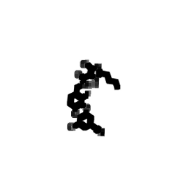 CCCCc1nc(Cl)c(C(=O)NCc2ccc(Cl)c(Oc3cc(Cl)cc(C#N)c3)c2F)[nH]1